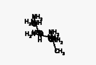 CCCCCCCCCCC(N)C(=O)NC(CCCCN)C(=O)NCCCCCCCC(=O)NC(CCCCN)C(=O)NCCCCCCCC(=O)NC(CCCCN)C(N)=O